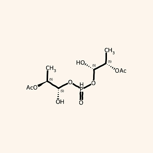 CC(=O)O[C@@H](C)[C@@H](O)O[PH](=O)O[C@H](O)[C@H](C)OC(C)=O